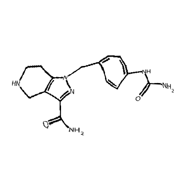 NC(=O)Nc1ccc(Cn2nc(C(N)=O)c3c2CCNC3)cc1